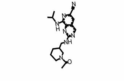 CC(=O)N1CCCC(CNc2ncc3cc(C#N)nc(NC(C)C)c3n2)C1